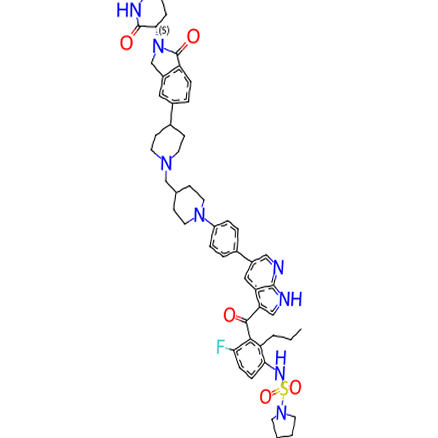 CCCc1c(NS(=O)(=O)N2CC[C@@H](F)C2)ccc(F)c1C(=O)c1c[nH]c2ncc(-c3ccc(N4CCC(CN5CCC(c6ccc7c(c6)CN([C@H]6CCC(=O)NC6=O)C7=O)CC5)CC4)cc3)cc12